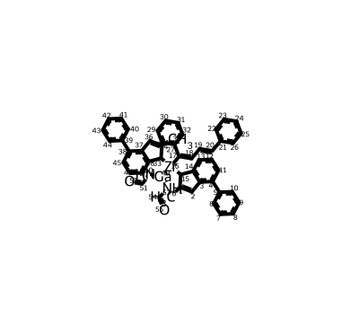 CC1=Cc2c(-c3ccccc3)cccc2[CH]1[Zr]([C](=CC=Cc1ccccc1)c1ccccc1)([CH]1C(C)=Cc2c(-c3ccccc3)cccc21)[Ga]([NH]C=O)[NH]C=O